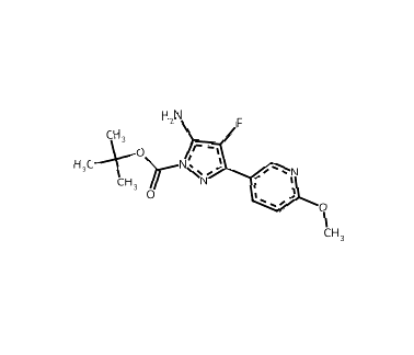 COc1ccc(-c2nn(C(=O)OC(C)(C)C)c(N)c2F)cn1